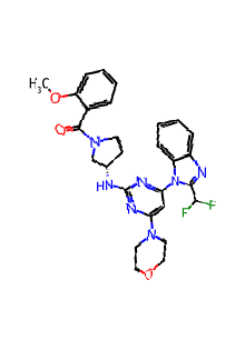 COc1ccccc1C(=O)N1CC[C@H](Nc2nc(N3CCOCC3)cc(-n3c(C(F)F)nc4ccccc43)n2)C1